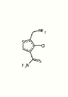 NCc1scc(C(N)=S)c1Cl